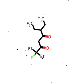 CCC(F)(CC)C(=O)CC(=O)C(CC(F)(F)F)CC(F)(F)F